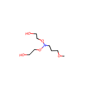 COCCCN(OCCO)OCCO